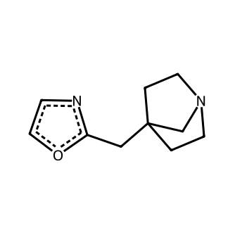 c1coc(CC23CCN(CC2)C3)n1